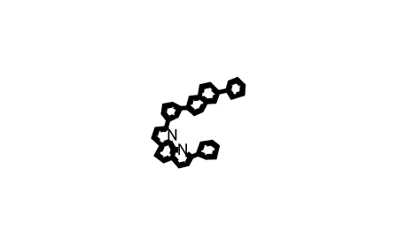 c1ccc(-c2ccc3cc(-c4cccc(-c5ccc6ccc7ccc(-c8ccccc8)nc7c6n5)c4)ccc3c2)cc1